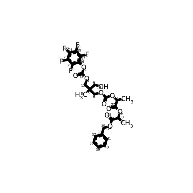 CC(OC(=O)OCC(C)(CO)COC(=O)Oc1c(F)c(F)c(F)c(F)c1F)C(=O)OC(C)C(=O)OCc1ccccc1